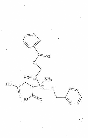 C[C@](COCc1ccccc1)(C(CC(=O)O)C(=O)O)[C@H](O)COC(=O)c1ccccc1